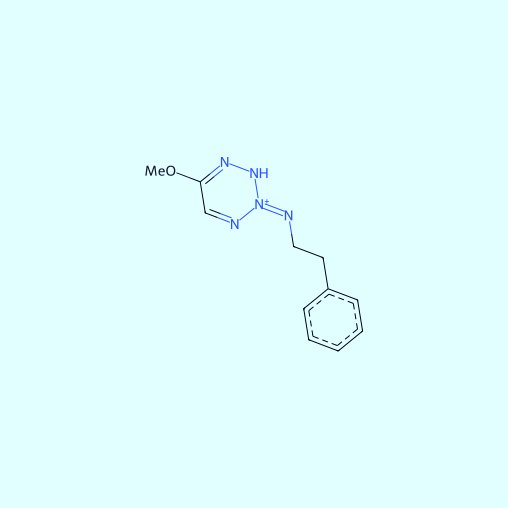 COC1=NN[N+](=NCCc2ccccc2)N=C1